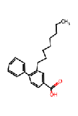 CCCCCCCCc1cc(C(=O)O)ccc1-c1ccccc1